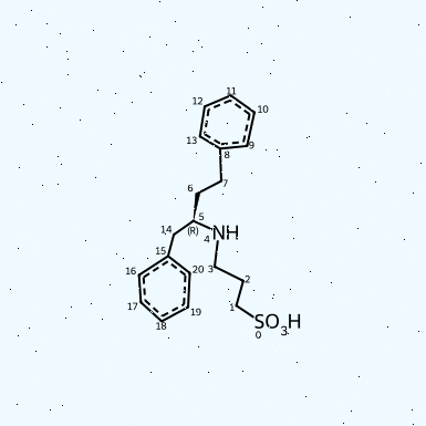 O=S(=O)(O)CCCN[C@H](CCc1ccccc1)Cc1ccccc1